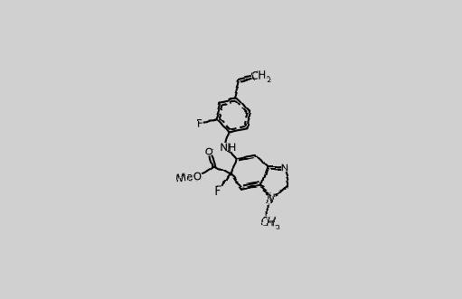 C=Cc1ccc(NC2=CC3=NCN(C)C3=CC2(F)C(=O)OC)c(F)c1